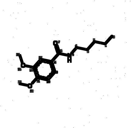 [CH2]CCCCNC(=O)c1ccc(OC)c(OC)c1